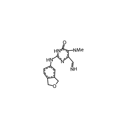 CNc1c(C=N)nc(Nc2ccc3c(c2)COC3)[nH]c1=O